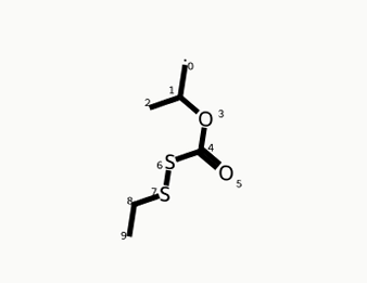 [CH2]C(C)OC(=O)SSCC